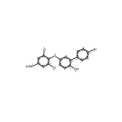 CC(=O)Nc1cc(Cl)c(Oc2ccc(O)c(-c3ccc(C(C)=O)cc3)c2)c(Cl)c1